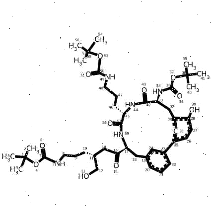 CC(C)(C)OC(=O)NCCC[C@@H](CO)CC(=O)[C@@H]1Cc2cccc(c2)-c2ccc(O)c(c2)C[C@H](NC(=O)OC(C)(C)C)C(=O)N[C@@H](CCCNC(=O)OC(C)(C)C)C(=O)N1